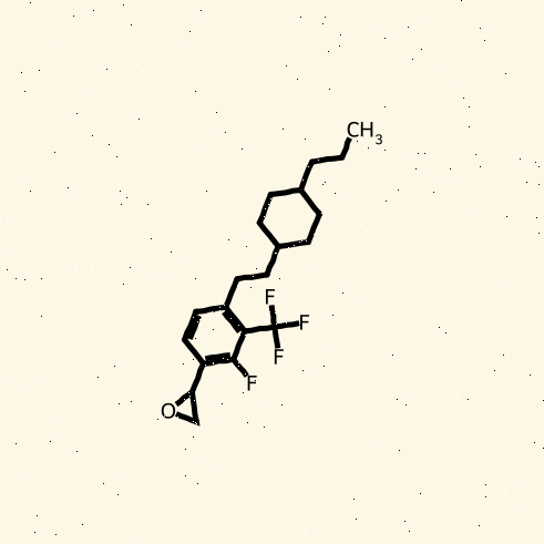 CCCC1CCC(CCc2ccc(C3CO3)c(F)c2C(F)(F)F)CC1